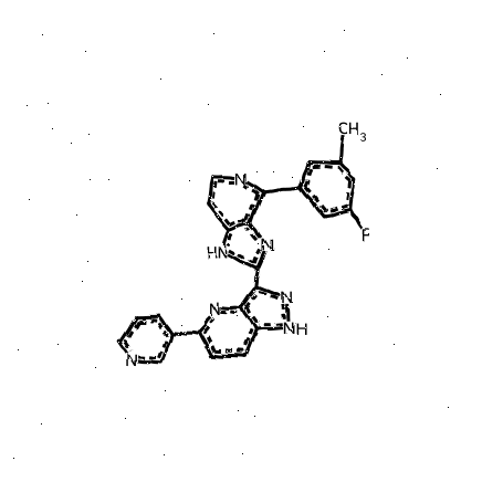 Cc1cc(F)cc(-c2nccc3[nH]c(-c4n[nH]c5ccc(-c6cccnc6)nc45)nc23)c1